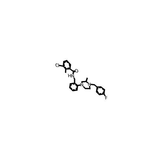 Cc1c(Cl)cccc1C(=O)NCc1ccccc1N1CCN(Cc2ccc(F)cc2)C(C)C1